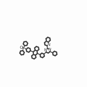 O=P(c1ccccc1)(c1ccccc1)c1ccc(-c2c3ccccc3c(-c3cccc(-c4cc(-c5ccccc5)nc(-c5ccc6ccccc6n5)n4)c3)c3ccccc23)cc1